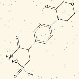 NC(=O)C(CP(=O)(O)O)c1ccc(N2CCOCC2=O)cc1